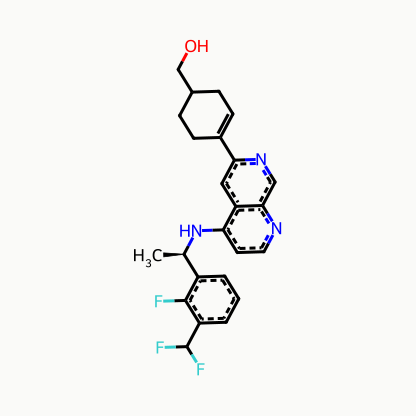 C[C@@H](Nc1ccnc2cnc(C3=CCC(CO)CC3)cc12)c1cccc(C(F)F)c1F